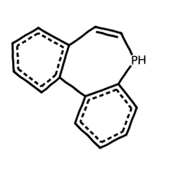 C1=Cc2ccccc2-c2ccccc2P1